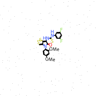 COc1ccc(-n2c3cssc-3c(NC(=S)Nc3cc(F)cc(F)c3)c2=O)c(OC)c1